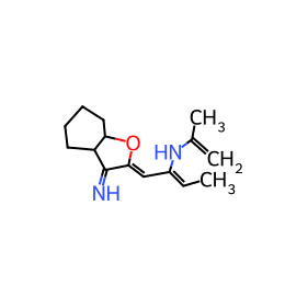 C=C(C)NC(=C\C)/C=C1\OC2CCCCC2C1=N